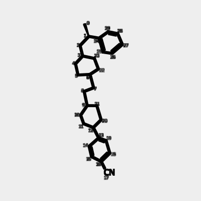 C[C@H](CC1CCC(CCC2CCC(c3ccc(C#N)cc3)CC2)CC1)c1ccccc1